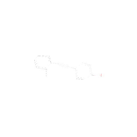 Cc1ccccc1C#Cc1ccc(O)cc1